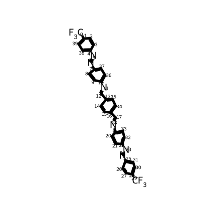 FC(F)(F)c1ccc(/N=N/c2ccc(/N=C/c3ccc(/C=N/c4ccc(/N=N/c5ccc(C(F)(F)F)cc5)cc4)cc3)cc2)cc1